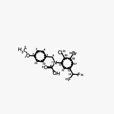 COc1ccc(CN(C(=O)O)c2cc(C(F)F)cc(Br)c2Cl)cc1